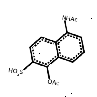 CC(=O)Nc1cccc2c(OC(C)=O)c(S(=O)(=O)O)ccc12